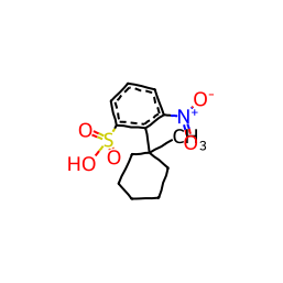 CC1(c2c([N+](=O)[O-])cccc2S(=O)(=O)O)CCCCC1